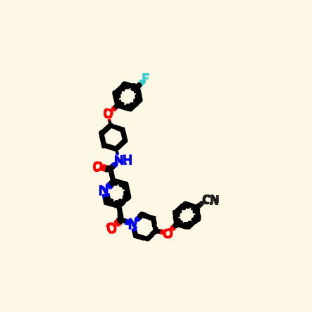 N#Cc1ccc(OC2CCN(C(=O)c3ccc(C(=O)N[C@H]4CC[C@@H](Oc5ccc(F)cc5)CC4)nc3)CC2)cc1